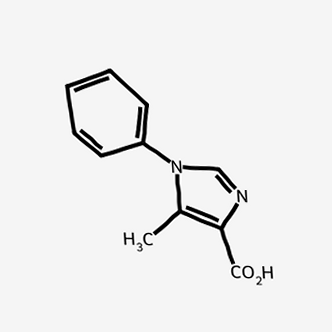 Cc1c(C(=O)O)ncn1-c1ccccc1